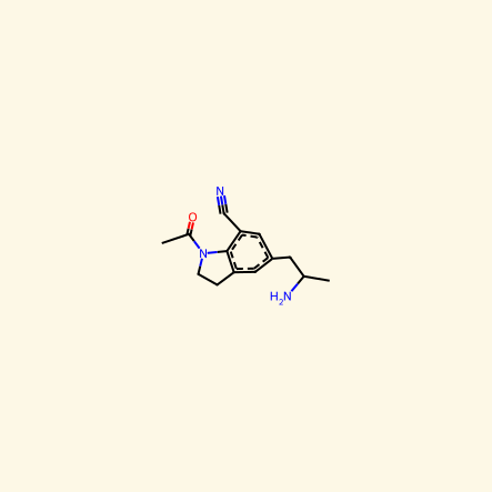 CC(=O)N1CCc2cc(CC(C)N)cc(C#N)c21